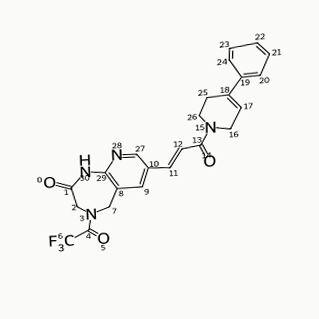 O=C1CN(C(=O)C(F)(F)F)Cc2cc(/C=C/C(=O)N3CC=C(c4ccccc4)CC3)cnc2N1